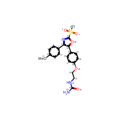 CCS(=O)(=O)c1nc(-c2ccc(OC)cc2)c(-c2ccc(OCCNC(N)=O)cc2)o1